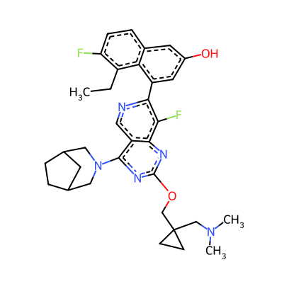 CCc1c(F)ccc2cc(O)cc(-c3ncc4c(N5CC6CCC(C6)C5)nc(OCC5(CN(C)C)CC5)nc4c3F)c12